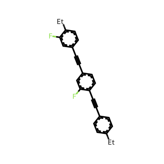 CCc1ccc(C#Cc2ccc(C#Cc3ccc(CC)c(F)c3)cc2F)cc1